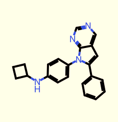 c1ccc(-c2cc3cncnc3n2-c2ccc(NC3CCC3)cc2)cc1